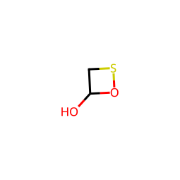 OC1CSO1